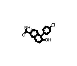 NC(=O)c1ccc2c(-c3ccc(Cl)cc3)c(O)ccc2c1